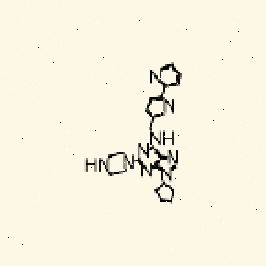 c1ccc(-c2ccc(CNc3nc(N4CCNCC4)nc4c3ncn4C3CCCC3)cn2)nc1